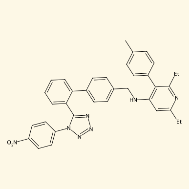 CCc1cc(NCc2ccc(-c3ccccc3-c3nnnn3-c3ccc([N+](=O)[O-])cc3)cc2)c(-c2ccc(C)cc2)c(CC)n1